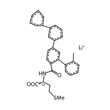 CSCC[C@H](NC(=O)c1ccc(-c2cccc(-c3ccccc3)c2)cc1-c1ccccc1C)C(=O)[O-].[Li+]